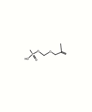 C=C(C)COCOP(C)(=O)O